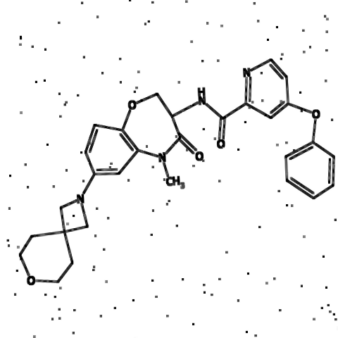 CN1C(=O)C(NC(=O)c2cc(Oc3ccccc3)ccn2)COc2ccc(N3CC4(CCOCC4)C3)cc21